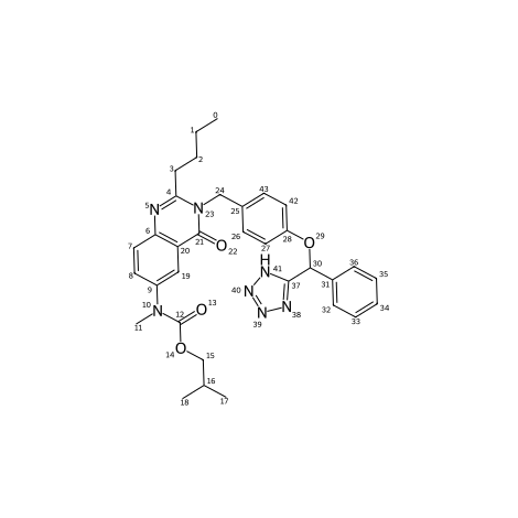 CCCCc1nc2ccc(N(C)C(=O)OCC(C)C)cc2c(=O)n1Cc1ccc(OC(c2ccccc2)c2nnn[nH]2)cc1